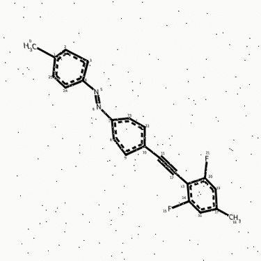 Cc1ccc(N=Nc2ccc(C#Cc3c(F)cc(C)cc3F)cc2)cc1